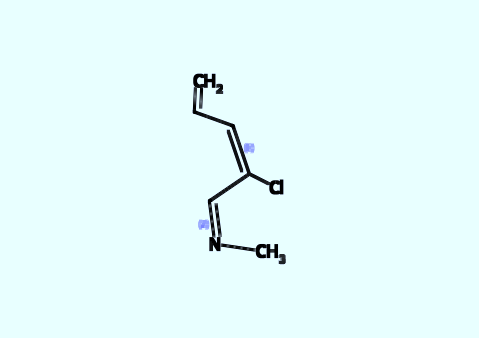 C=C/C=C(Cl)\C=N/C